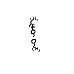 CCCC1COC(c2ccc(CC[C@H]3CC[C@H](CCC)CC3)cc2)OC1